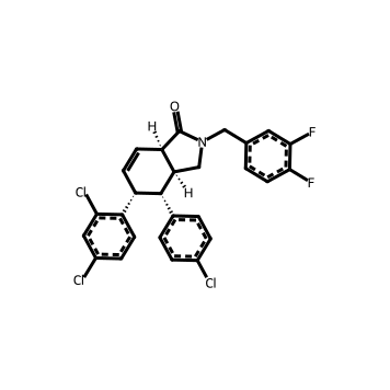 O=C1[C@@H]2C=C[C@@H](c3ccc(Cl)cc3Cl)[C@@H](c3ccc(Cl)cc3)[C@@H]2CN1Cc1ccc(F)c(F)c1